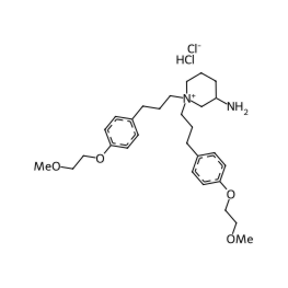 COCCOc1ccc(CCC[N+]2(CCCc3ccc(OCCOC)cc3)CCCC(N)C2)cc1.Cl.[Cl-]